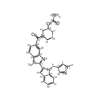 Cn1cc(Cn2c(-c3nc4cc(C(=O)N5CCCC(OC(N)=O)C5)ccc4n3C)cc3ccccc32)cn1